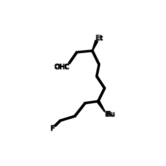 CC[C@H](CC=O)CCCC(CCCF)[C@H](C)CC